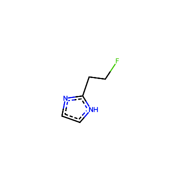 FCCc1ncc[nH]1